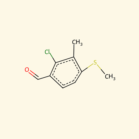 CSc1ccc(C=O)c(Cl)c1C